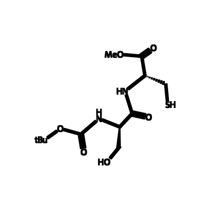 COC(=O)[C@H](CS)NC(=O)[C@@H](CO)NC(=O)OC(C)(C)C